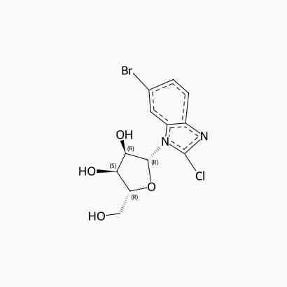 OC[C@H]1O[C@@H](n2c(Cl)nc3ccc(Br)cc32)[C@H](O)[C@@H]1O